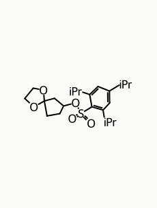 CC(C)c1cc(C(C)C)c(S(=O)(=O)OC2CCC3(C2)OCCO3)c(C(C)C)c1